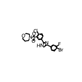 O=S(=O)(c1cc(-c2nc(-c3ccc(Br)c(F)c3)c[nH]2)ccc1Cl)N1CCCOCC1